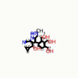 CNCc1[nH]c(C#N)c(C(O)C2CC2)c1-c1ccc(CO)c(CO)c1CO